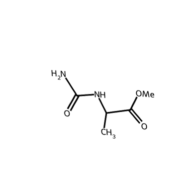 COC(=O)C(C)NC(N)=O